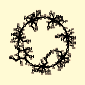 [N-]=[N+]=NC[C@H]1O[C@@H]2O[C@H]3[C@H](O)[C@@H](O)[C@@H](O[C@H]4[C@H](O)[C@@H](O)[C@@H](O[C@H]5[C@H](O)[C@@H](O)[C@@H](O[C@H]6[C@H](O)[C@@H](O)[C@@H](O[C@H]7[C@H](O)[C@@H](O)[C@@H](O[C@H]8[C@H](O)[C@@H](O)[C@@H](O[C@H]1[C@H](O)[C@H]2O)O[C@@H]8CO)O[C@@H]7CO)O[C@@H]6CO)O[C@@H]5CO)O[C@@H]4CO)O[C@@H]3CO